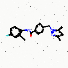 Cc1cc(C)n(Cc2ccc(C(=O)Nc3ccc(F)cc3C)cc2)n1